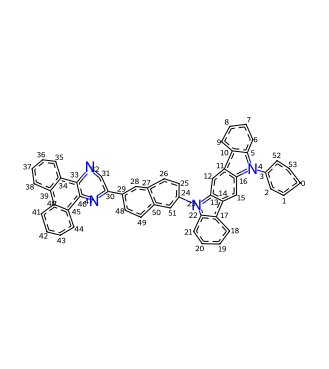 c1ccc(-n2c3ccccc3c3cc4c(cc32)c2ccccc2n4-c2ccc3cc(-c4cnc5c6ccccc6c6ccccc6c5n4)ccc3c2)cc1